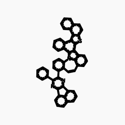 C1=Cc2cccc3c4c5sc6ccc7ccccc7c6c5c5ccccc5c4n(c23)-c2cccc(-c3nc4c(nc3-c3ccccc3)-c3cccc5cccc-4c35)c21